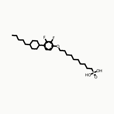 CCCCCC1CCC(c2ccc(OCCCCCCCCCCP(=O)(O)O)c(F)c2F)CC1